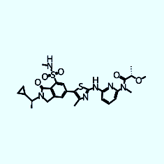 CNS(=O)(=O)c1cc(-c2sc(Nc3cccc(N(C)C(=O)[C@H](C)OC)n3)nc2C)cc2c1C(=O)N([C@@H](C)C1CC1)C2